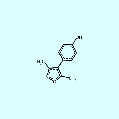 Cc1noc(C)c1-c1ccc(O)cc1